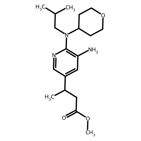 COC(=O)CC(C)c1cnc(N(CC(C)C)C2CCOCC2)c(N)c1